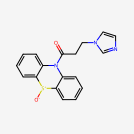 O=C(CCn1ccnc1)N1c2ccccc2[S+]([O-])c2ccccc21